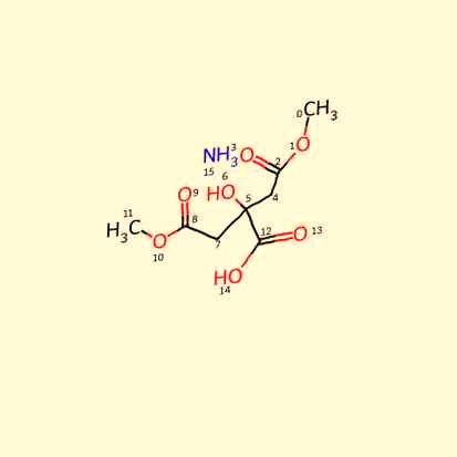 COC(=O)CC(O)(CC(=O)OC)C(=O)O.N